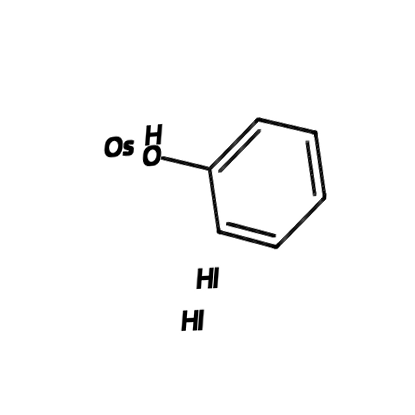 I.I.Oc1ccccc1.[Os]